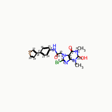 CN1C(=O)c2c(nc(Br)n2CC(=O)Nc2ccc(-c3ccsc3)cc2)N(C)C1O